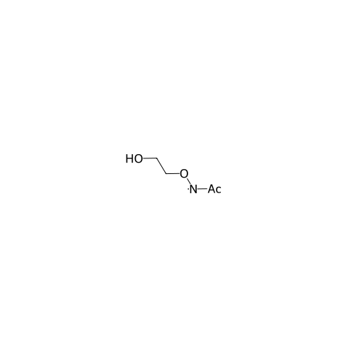 CC(=O)[N]OCCO